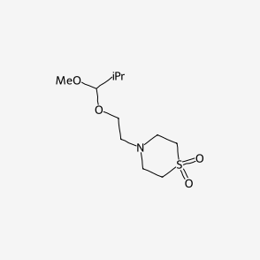 COC(OCCN1CCS(=O)(=O)CC1)C(C)C